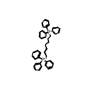 c1ccc([P+](CCCCCCC[P+](c2ccccc2)(c2ccccc2)c2ccccc2)(c2ccccc2)c2ccccc2)cc1